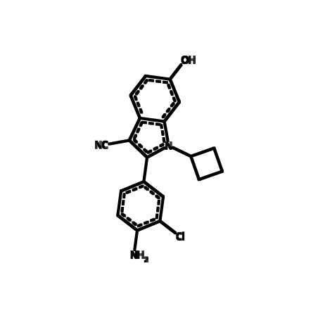 N#Cc1c(-c2ccc(N)c(Cl)c2)n(C2CCC2)c2cc(O)ccc12